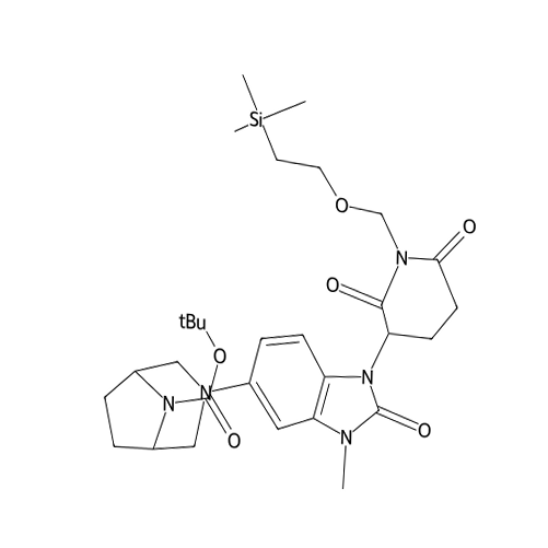 Cn1c(=O)n(C2CCC(=O)N(COCC[Si](C)(C)C)C2=O)c2ccc(N3CC4CCC(C3)N4C(=O)OC(C)(C)C)cc21